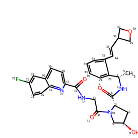 C[C@H](NC(=O)[C@@H]1C[C@@H](O)CN1C(=O)CNC(=O)c1ccc2cc(F)ccc2n1)c1ccccc1/C=C/C1COC1